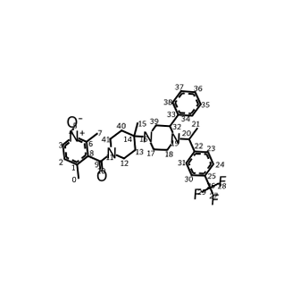 Cc1cc[n+]([O-])c(C)c1C(=O)N1CCC(C)(N2CCN(C(C)c3ccc(C(F)(F)F)cc3)C(c3ccccc3)C2)CC1